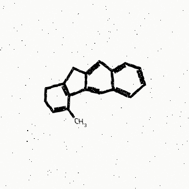 CC1=CCCC2=C1c1cc3ccccc3cc1C2